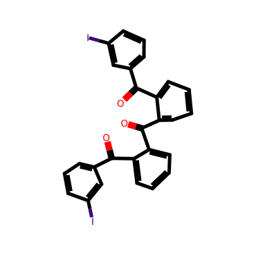 O=C(c1cccc(I)c1)c1ccccc1C(=O)c1ccccc1C(=O)c1cccc(I)c1